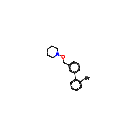 CC(C)c1ccccc1-c1cccc(CON2CCCCC2)c1